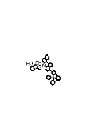 CC1(C)c2ccccc2-c2ccc(N(c3ccc(-c4ccc5c(c4)C(c4ccccc4)(c4ccccc4)c4ccccc4-5)cc3)c3ccc4ccccc4c3-c3ccccc3)cc21